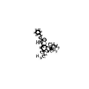 CCOC(=O)CC(COC(C)(C)C)NC(=O)OCc1ccccc1